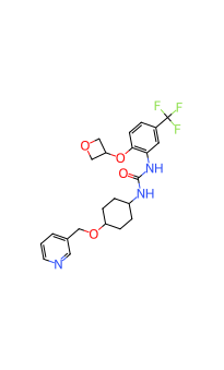 O=C(Nc1cc(C(F)(F)F)ccc1OC1COC1)NC1CCC(OCc2cccnc2)CC1